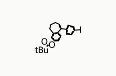 CC(C)(C)C(=O)Oc1ccc2c(c1)CCCC=C2c1ccc(I)cc1